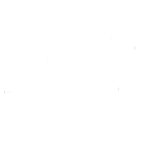 Oc1ccc(OCCCSc2c(F)c(F)cc(F)c2F)cc1Cl